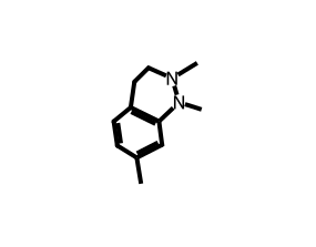 Cc1ccc2c(c1)N(C)N(C)CC2